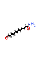 NC(=O)CCCCCCCCCCC=O